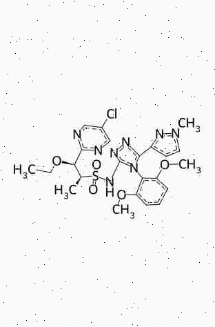 CCO[C@@H](c1ncc(Cl)cn1)[C@H](C)S(=O)(=O)Nc1nnc(-c2ccn(C)n2)n1-c1c(OC)cccc1OC